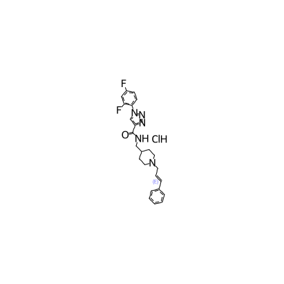 Cl.O=C(NCC1CCN(C/C=C/c2ccccc2)CC1)c1cn(-c2ccc(F)cc2F)nn1